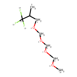 CC([SiH2]O[SiH2]O[SiH2]O[SiH2]O[SiH3])C(F)(F)F